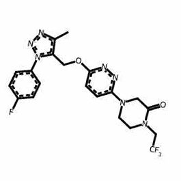 Cc1nnn(-c2ccc(F)cc2)c1COc1ccc(N2CCN(CC(F)(F)F)C(=O)C2)nn1